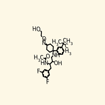 CC(=O)NC(Cc1cc(F)cc(F)c1)C(O)CNC1(c2cccc(C(C)(C)C)c2)CCC(=NOCCO)CC1